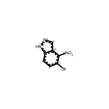 O=[N+]([O-])c1c(Br)ccc2[nH]ncc12